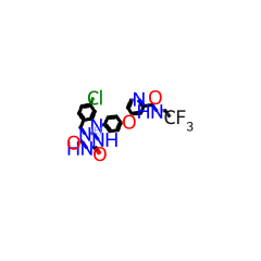 O=C(NCC(F)(F)F)c1cc(Oc2ccc(/N=c3\[nH]c(=O)[nH]c(=O)n3Cc3ccc(Cl)cc3)cc2)ccn1